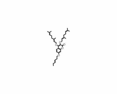 CCC=CCCOc1ccc2c(OC/C=C(\C)CCC=C(C)C)c(OC/C=C(\C)CCC=C(C)C)c(=O)oc2c1